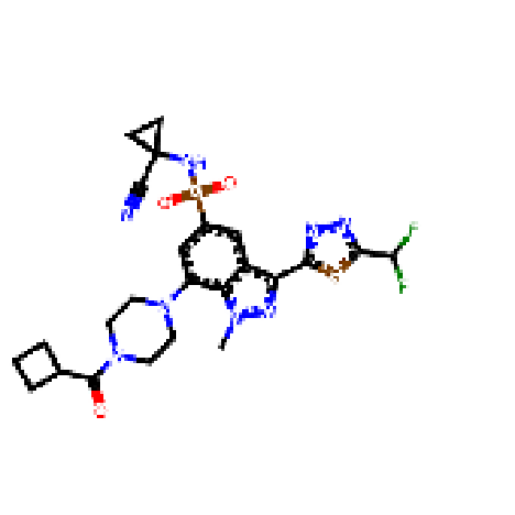 Cn1nc(-c2nnc(C(F)F)s2)c2cc(S(=O)(=O)NC3(C#N)CC3)cc(N3CCN(C(=O)C4CCC4)CC3)c21